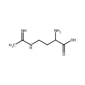 CC(=N)NCCC(N)C(=O)O